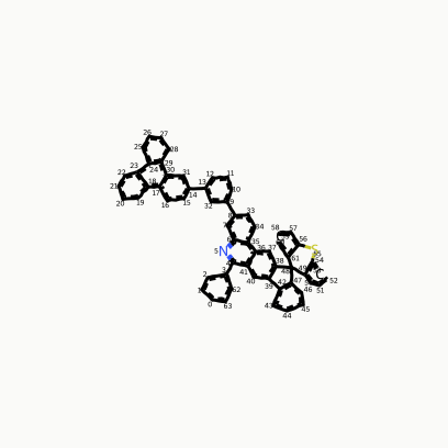 c1ccc(-c2nc3cc(-c4cccc(-c5ccc6c7ccccc7c7ccccc7c6c5)c4)ccc3c3cc4c(cc23)-c2ccccc2C42c3ccccc3Sc3ccccc32)cc1